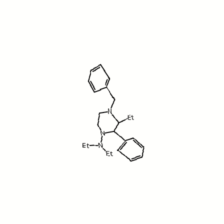 CCC1C(c2ccccc2)N(N(CC)CC)CCN1Cc1ccccc1